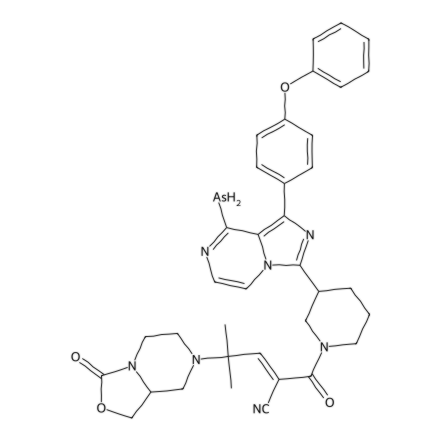 CC(C)(C=C(C#N)C(=O)N1CCCC(c2nc(-c3ccc(Oc4ccccc4)cc3)c3c([AsH2])nccn23)C1)N1CCN2C(=O)OCC2C1